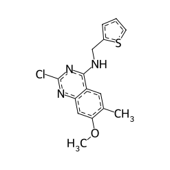 COc1cc2nc(Cl)nc(NCc3cccs3)c2cc1C